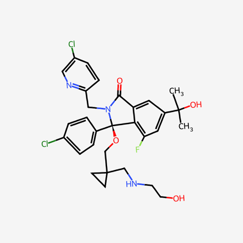 CC(C)(O)c1cc(F)c2c(c1)C(=O)N(Cc1ccc(Cl)cn1)[C@@]2(OCC1(CNCCO)CC1)c1ccc(Cl)cc1